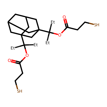 CCC(CC)(OC(=O)CCS)C12CC3CC(C1)CC(C(CC)(CC)OC(=O)CCS)(C3)C2